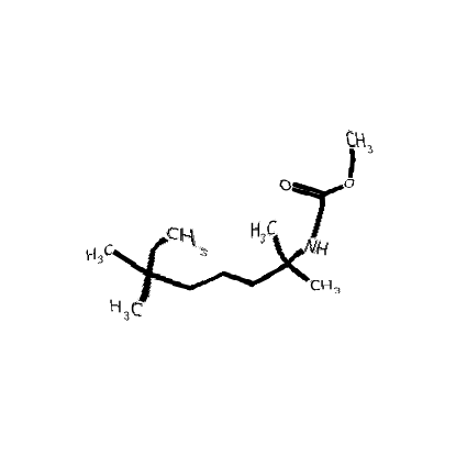 COC(=O)NC(C)(C)CCCC(C)(C)C